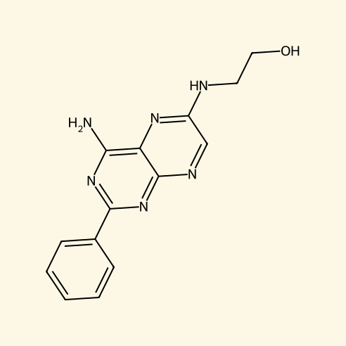 Nc1nc(-c2ccccc2)nc2ncc(NCCO)nc12